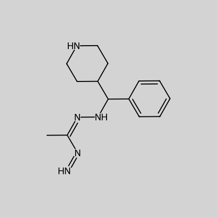 C/C(N=N)=N/NC(c1ccccc1)C1CCNCC1